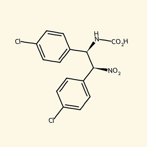 O=C(O)N[C@H](c1ccc(Cl)cc1)[C@H](c1ccc(Cl)cc1)[N+](=O)[O-]